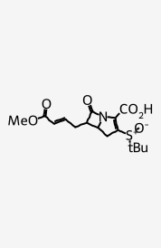 COC(=O)/C=C/CC1C(=O)N2C(C(=O)O)=C([S+]([O-])C(C)(C)C)CC12